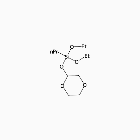 CCC[Si](OCC)(OCC)OC1COCCO1